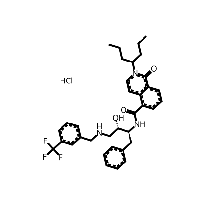 CCCC(CCC)n1ccc2c(C(=O)N[C@@H](Cc3ccccc3)[C@@H](O)CNCc3cccc(C(F)(F)F)c3)cccc2c1=O.Cl